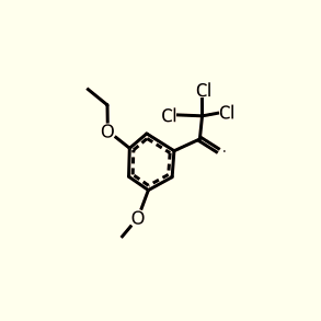 [CH]=C(c1cc(OC)cc(OCC)c1)C(Cl)(Cl)Cl